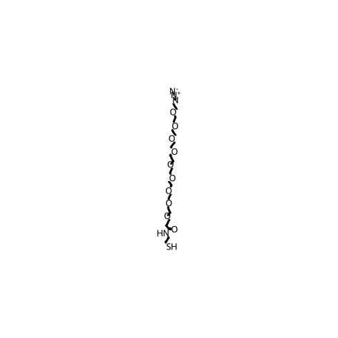 [N-]=[N+]=NCCOCCOCCOCCOCCOCCOCCOCCOCCOCCC(=O)NCCS